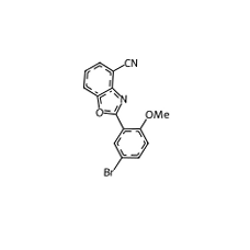 COc1ccc(Br)cc1-c1nc2c(C#N)cccc2o1